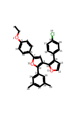 CCOc1ccc(-c2cc(-c3occc3-c3ccc(Cl)cc3)c(-c3cc(C)cc(C)c3)o2)cc1